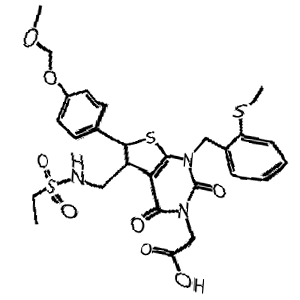 CCS(=O)(=O)NCC1c2c(n(Cc3ccccc3SC)c(=O)n(CC(=O)O)c2=O)SC1c1ccc(OCOC)cc1